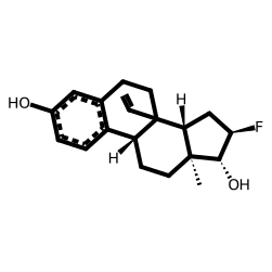 C=CC12CCc3cc(O)ccc3[C@H]1CC[C@]1(C)[C@@H](O)[C@H](F)C[C@@H]21